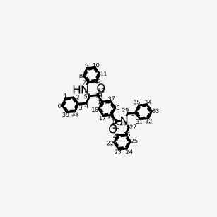 c1ccc(CC2Nc3ccccc3OC2c2ccc(C3Oc4ccccc4CN3Cc3ccccc3)cc2)cc1